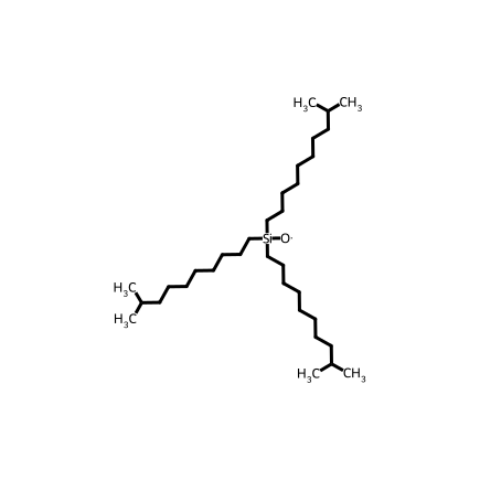 CC(C)CCCCCCCC[Si]([O])(CCCCCCCCC(C)C)CCCCCCCCC(C)C